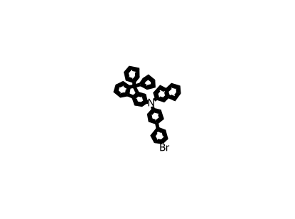 Brc1ccc(-c2ccc(N(c3ccc4c(c3)C(c3ccccc3)(c3ccccc3)c3ccccc3-4)c3ccc4ccccc4c3)cc2)cc1